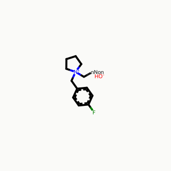 CCCCCCCCCC[N+]1(Cc2ccc(F)cc2)CCCC1.[OH-]